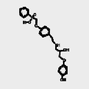 CCOP(=O)(COc1ccc(CCNCC(O)COc2ccc(O)cc2)cc1)c1ccccc1